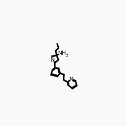 CCCC1(N)CN=C(c2cccc(CCc3ccccn3)c2)C1